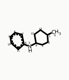 CC1CCC(Nc2[c]cccc2)CC1